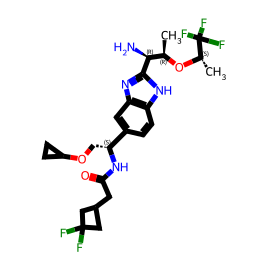 C[C@H](O[C@H](C)[C@H](N)c1nc2cc([C@@H](COC3CC3)NC(=O)CC3CC(F)(F)C3)ccc2[nH]1)C(F)(F)F